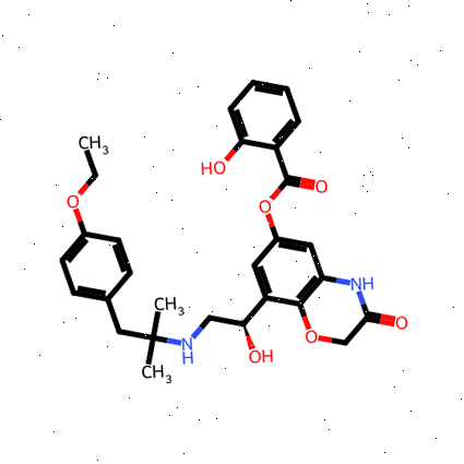 CCOc1ccc(CC(C)(C)NC[C@H](O)c2cc(OC(=O)c3ccccc3O)cc3c2OCC(=O)N3)cc1